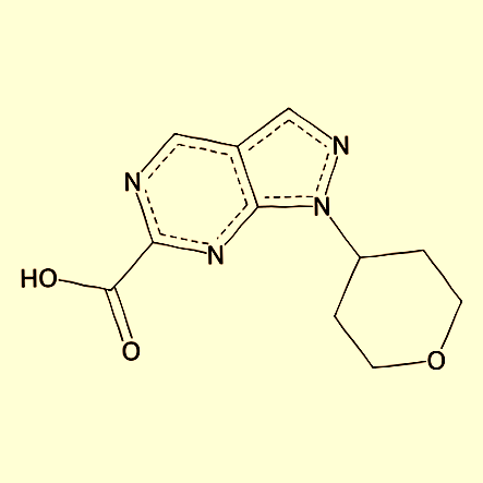 O=C(O)c1ncc2cnn(C3CCOCC3)c2n1